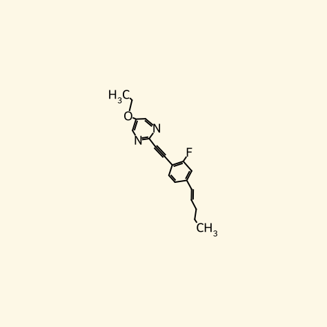 CCC/C=C/c1ccc(C#Cc2ncc(OCC)cn2)c(F)c1